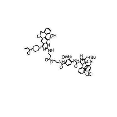 C=CC(=O)N1CCN(c2nc(NCCC(=O)N(C)CCNC(=O)c3ccc(NC(=O)[C@@H]4N[C@@H](CC(C)(C)C)[C@](C#N)(c5ccc(Cl)cc5F)[C@H]4c4cccc(Cl)c4F)c(OC)c3)nc3c(F)c(-c4c(O)cccc4F)c(Cl)cc23)CC1